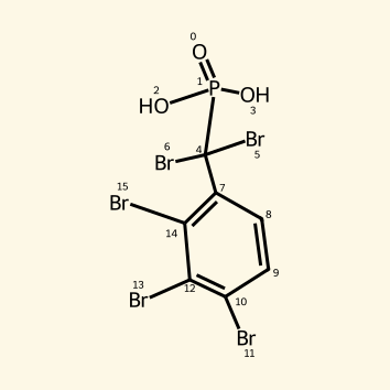 O=P(O)(O)C(Br)(Br)c1ccc(Br)c(Br)c1Br